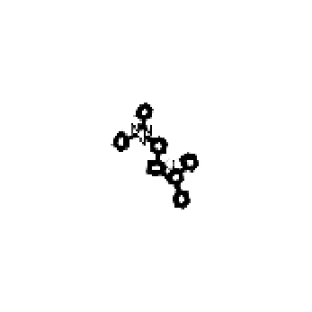 c1ccc(-c2cc(-c3ccccc3)c3oc4c(-c5cccc(-c6nc(-c7ccccc7)nc(-c7ccccc7)n6)c5)cccc4c3c2)cc1